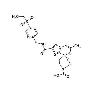 CCS(=O)(=O)c1ccc(CNC(=O)c2cc3c(s2)C2(CCN(C(=O)O)CC2)OC(C)=C3)nc1